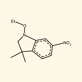 CCON1CC(C)(C)c2ccc([N+](=O)[O-])cc21